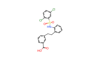 O=C(O)c1cccc(CCc2ccccc2NS(=O)(=O)c2cc(Cl)ccc2Cl)c1